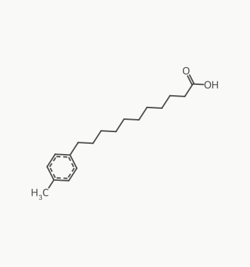 Cc1ccc(CCCCCCCCCCC(=O)O)cc1